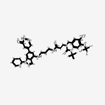 CC(C)(C)OC(=O)N(CCC(=O)NCCCNc1cc(-c2cn[nH]c(=O)c2)cc2c1cnn2C1CCCCO1)Cc1ccc(OC(F)(F)F)c(Cl)c1